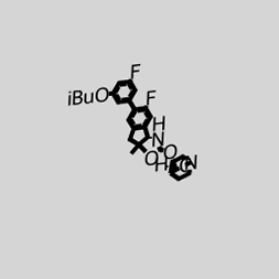 CC(C)COc1cc(F)cc(-c2cc3c(cc2F)[C@H](NC(=O)O[C@H]2CN4CCC2CC4)C(C)(C)C3)c1